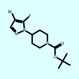 CC(C)(C)OC(=O)N1CCC(n2ncc(Br)c2F)CC1